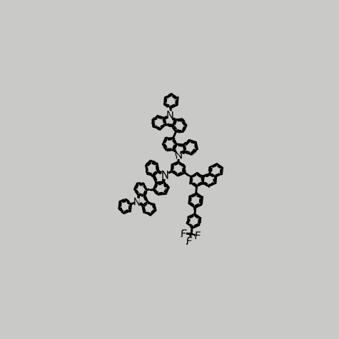 FC(F)(F)c1ccc(-c2ccc(-c3cc(-c4cc(-n5c6ccccc6c6c(-c7cccc8c7c7ccccc7n8-c7ccccc7)cccc65)cc(-n5c6ccccc6c6c(-c7cccc8c7c7ccccc7n8-c7ccccc7)cccc65)c4)cc4c3ccc3ccccc34)cc2)cc1